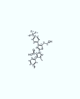 Cc1nn(-c2nc(-c3ccc(C(F)(F)F)cc3)c(CCO)s2)c(C(=O)O)c1-c1cccc(F)c1